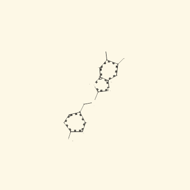 O=Cc1ccc(CSc2nc3cc(F)c(I)cc3[nH]2)cc1